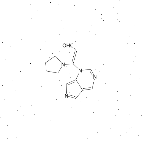 O=CC=C(N1CCCC1)n1cncc2cncc1-2